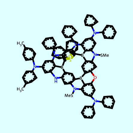 CSN1c2cc3c(cc2B2c4cc5c(cc4Oc4cc(N(c6ccccc6)c6ccccc6)cc1c42)N(SC)c1cc(N(c2ccccc2)c2ccccc2)cc2c1B5c1sc4ccccc4c1N2c1ccccc1)B1c2sc4ccccc4c2N(c2ccccc2)c2cc(N(c4ccc(C)cc4)c4ccc(C)cc4)cc(c21)N3